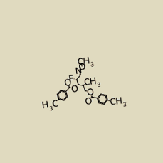 CON=C[C@@H](F)[C@H](OC(=O)c1ccc(C)cc1)[C@@H](C)COC(=O)c1ccc(C)cc1